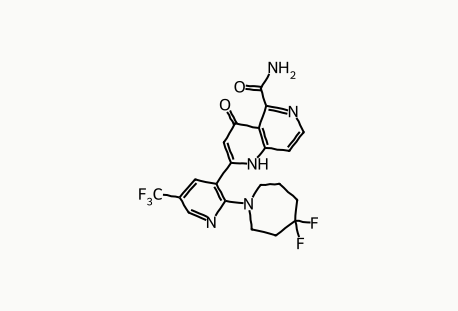 NC(=O)c1nccc2[nH]c(-c3cc(C(F)(F)F)cnc3N3CCCC(F)(F)CC3)cc(=O)c12